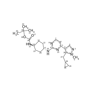 Cn1ncc(-c2ccnc(N[C@H]3CC[C@H](NC(=O)OC(C)(C)C)CC3)n2)c1CC1CC1